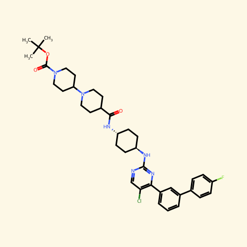 CC(C)(C)OC(=O)N1CCC(N2CCC(C(=O)N[C@H]3CC[C@H](Nc4ncc(Cl)c(-c5cccc(-c6ccc(F)cc6)c5)n4)CC3)CC2)CC1